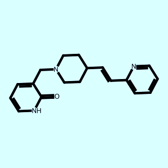 O=c1[nH]cccc1CN1CCC(C=Cc2ccccn2)CC1